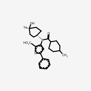 [2H][C@]1(O)CC[C@H](N(C(=O)C2CCC(C)CC2)c2cc(-c3ccccc3)sc2C(=O)O)CC1